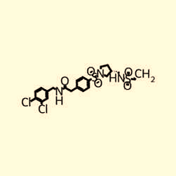 C=CS(=O)(=O)NC[C@H]1CCN(S(=O)(=O)c2ccc(CC(=O)NCc3ccc(Cl)c(Cl)c3)cc2)C1